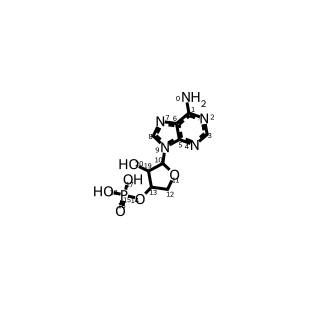 Nc1ncnc2c1ncn2C1OCC(OP(=O)(O)O)C1O